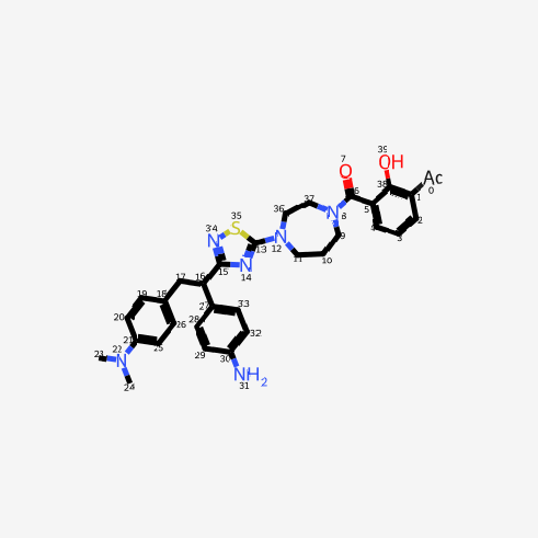 CC(=O)c1cccc(C(=O)N2CCCN(c3nc(C(Cc4ccc(N(C)C)cc4)c4ccc(N)cc4)ns3)CC2)c1O